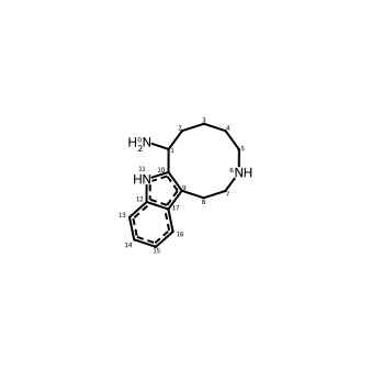 NC1CCCCNCCc2c1[nH]c1ccccc21